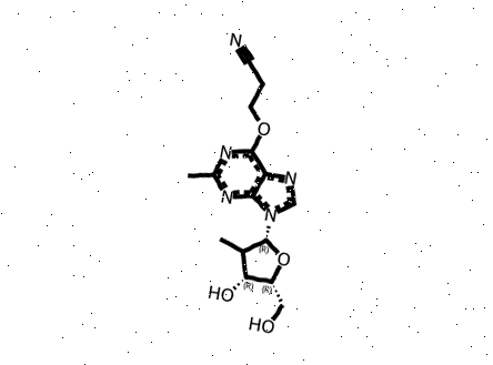 Cc1nc(OCCC#N)c2ncn([C@@H]3O[C@H](CO)[C@H](O)C3C)c2n1